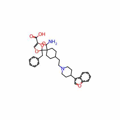 NC(=O)C1(C2(Cc3ccccc3)OC=C(C(=O)O)O2)CCC(CCN2CCC(c3coc4ccccc34)CC2)CC1